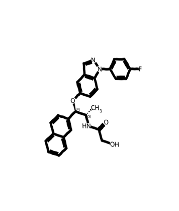 C[C@H](NC(=O)CO)[C@H](Oc1ccc2c(cnn2-c2ccc(F)cc2)c1)c1ccc2ccccc2c1